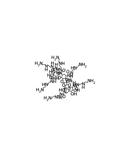 NCCNCCNC(=O)NCC1OC(OC2C(CO)OC(OC3C(O)C(NC(=O)NCCNCCN)CC(NC(=O)NCCNCCN)C3OC3OC(CNC(=O)NCCNCCN)C(O)C(O)C3NC(=O)NCCNCCN)C2O)C(NC(=O)NCCNCCN)C(O)C1O